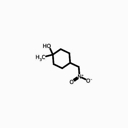 CC1(O)CCC(C[N+](=O)[O-])CC1